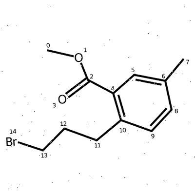 COC(=O)c1cc(C)ccc1CCCBr